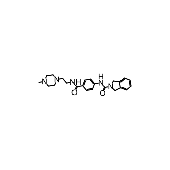 CN1CCN(CCNC(=O)c2ccc(NC(=O)N3Cc4ccccc4C3)cc2)CC1